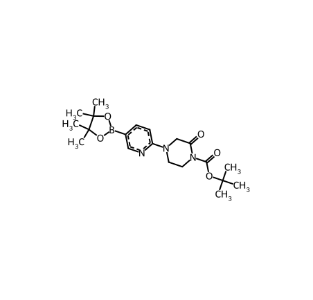 CC(C)(C)OC(=O)N1CCN(c2ccc(B3OC(C)(C)C(C)(C)O3)cn2)CC1=O